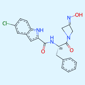 O=C(N[C@@H](Cc1ccccc1)C(=O)N1CC(=NO)C1)c1cc2cc(Cl)ccc2[nH]1